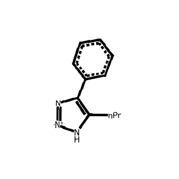 CCCC1=C(c2ccccc2)N=[N+]N1